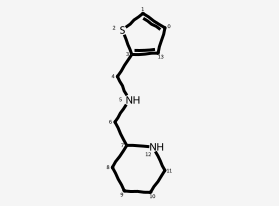 c1csc(CNCC2CCCCN2)c1